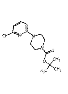 CC(C)(C)OC(=O)N1CCN(c2cccc(Cl)n2)CC1